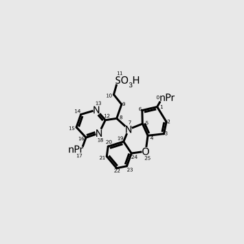 CCCc1ccc2c(c1)N(C(CCS(=O)(=O)O)c1nccc(CCC)n1)c1ccccc1O2